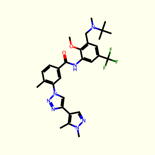 COc1c(CN(C)C(C)(C)C)cc(C(F)(F)F)cc1NC(=O)c1ccc(C)c(-n2cc(-c3cnn(C)c3C)nn2)c1